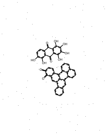 O=C1c2ccc(O)c(O)c2C(=O)c2c(O)c(O)c(O)c(O)c21.O=c1ccc2c(cc3c4ccccc4cc4c5cccc6cccc(c65)c2c34)c1=O